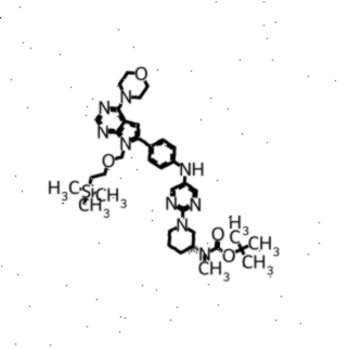 CN(C(=O)OC(C)(C)C)[C@@H]1CCCN(c2ncc(Nc3ccc(-c4cc5c(N6CCOCC6)ncnc5n4COCC[Si](C)(C)C)cc3)cn2)C1